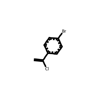 C=C(Cl)c1ccc(Br)cc1